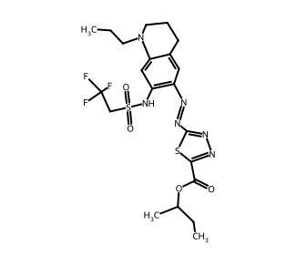 CCCN1CCCc2cc(N=Nc3nnc(C(=O)OC(C)CC)s3)c(NS(=O)(=O)CC(F)(F)F)cc21